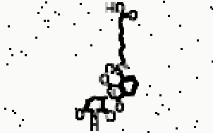 O=C(O)CCCCCC[S+]([O-])c1cccc2c1C(=O)N(C1CCC(=O)NC1=O)C2=O